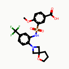 COc1ccc(C(=O)O)cc1S(=O)(=O)Nc1cc(C(F)(F)F)ccc1N1CC2(CCCO2)C1